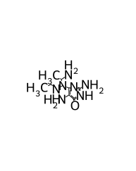 CCNN(c1nc(N)[nH]c(=O)c1N)[C@H](C)N